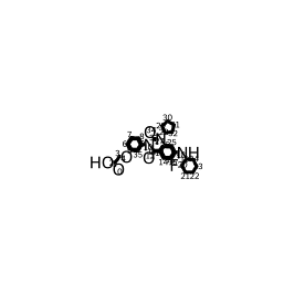 O=C(O)COc1cccc(-n2c(=O)c3cc(F)c(NC4CCCCC4)cc3n(C3CCCC3)c2=O)c1